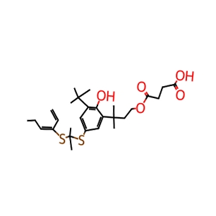 C=C/C(=C\CC)SC(C)(C)Sc1cc(C(C)(C)C)c(O)c(C(C)(C)CCOC(=O)CCC(=O)O)c1